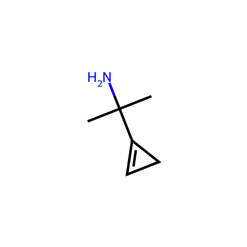 CC(C)(N)C1=CC1